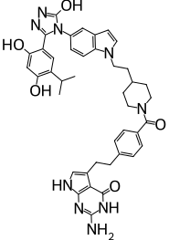 CC(C)c1cc(-c2nnc(O)n2-c2ccc3c(ccn3CCC3CCN(C(=O)c4ccc(CCc5c[nH]c6nc(N)[nH]c(=O)c56)cc4)CC3)c2)c(O)cc1O